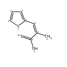 CC(=Cc1cccs1)C(O)=S